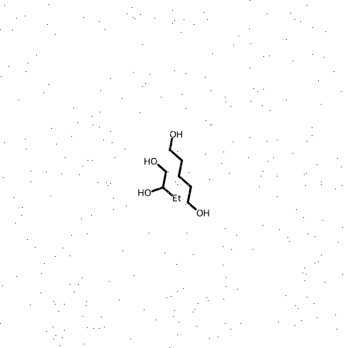 CCC(O)CO.OCCCCCO